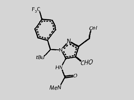 CNC(=O)Nc1c(C=O)c(CO)nn1C(c1ccc(C(F)(F)F)cc1)C(C)(C)C